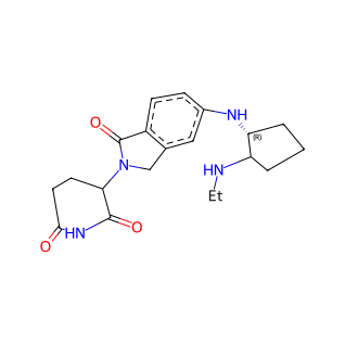 CCNC1CCC[C@H]1Nc1ccc2c(c1)CN(C1CCC(=O)NC1=O)C2=O